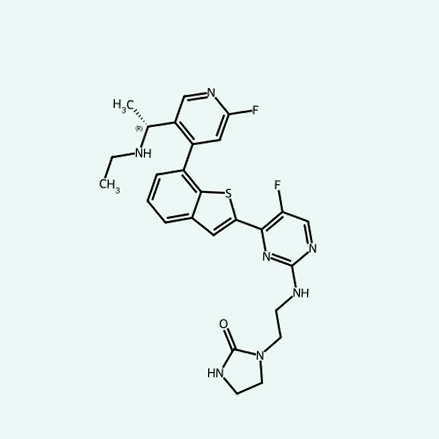 CCN[C@H](C)c1cnc(F)cc1-c1cccc2cc(-c3nc(NCCN4CCNC4=O)ncc3F)sc12